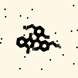 COc1ccc(O)c(C(c2cc(OC)ccc2O)c2c[n+]([O-])c3ccccc3[n+]2[O-])c1